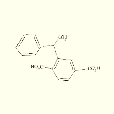 O=C(O)c1ccc(C(=O)O)c(C(C(=O)O)c2ccccc2)c1